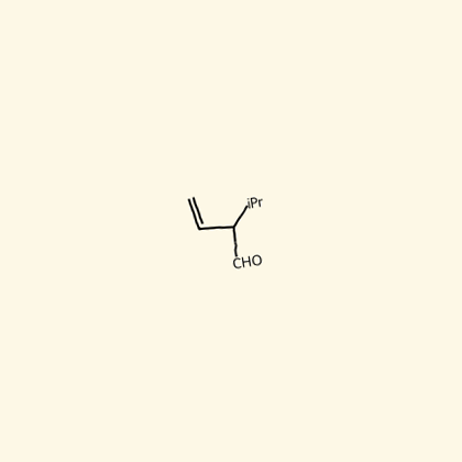 C=CC(C=O)C(C)C